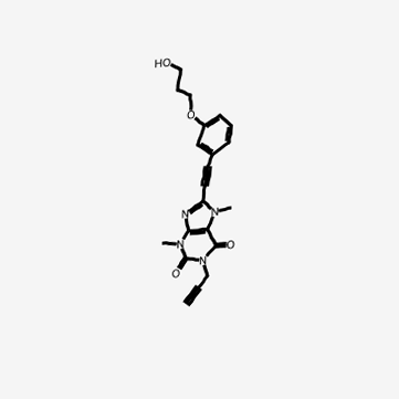 C#CCn1c(=O)c2c(nc(C#Cc3cccc(OCCCO)c3)n2C)n(C)c1=O